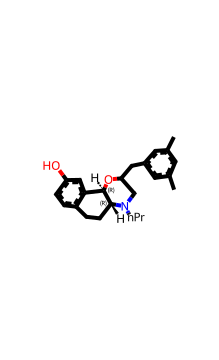 CCCN1CC(Cc2cc(C)cc(C)c2)O[C@@H]2c3cc(O)ccc3CC[C@H]21